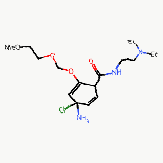 CCN(CC)CCNC(=O)C1C=CC(N)(Cl)C=C1OCOCCOC